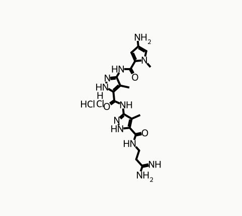 Cc1c(NC(=O)c2[nH]nc(NC(=O)c3cc(N)cn3C)c2C)n[nH]c1C(=O)NCCC(=N)N.Cl.Cl